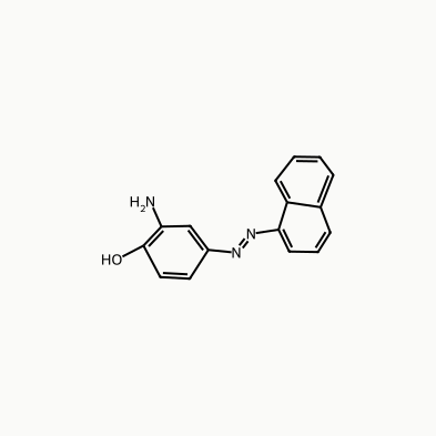 Nc1cc(/N=N/c2cccc3ccccc23)ccc1O